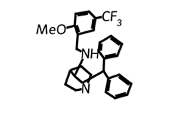 COc1ccc(C(F)(F)F)cc1CNC1C2CCN(CC2)C1C(c1ccccc1)c1ccccc1